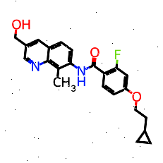 Cc1c(NC(=O)c2ccc(OCCC3CC3)cc2F)ccc2cc(CO)cnc12